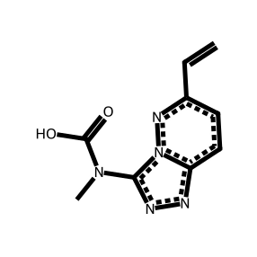 C=Cc1ccc2nnc(N(C)C(=O)O)n2n1